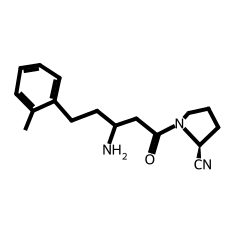 Cc1ccccc1CCC(N)CC(=O)N1CCC[C@H]1C#N